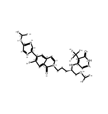 O=c1[nH]ncc(N[C@H](CCCn2ccc3cc(-c4cnc(OC(F)F)cn4)c(F)cc3c2=O)COC(F)F)c1C(F)(F)F